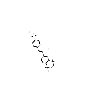 CC(=Cc1ccc(S(C)(=O)=O)cc1)c1ccc2c(c1)C(C)(C)CCC2(C)C